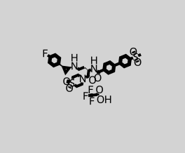 CS(=O)(=O)c1ccc(-c2ccc(C(=O)N[C@@H](CCN[C@@H]3C[C@H]3c3ccc(F)cc3)C(=O)N3CCS(=O)(=O)CC3)cc2)cc1.O=C(O)C(F)(F)F